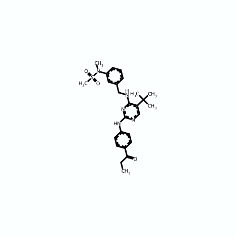 CCC(=O)c1ccc(Nc2ncc(C(C)(C)C)c(NCc3cccc(N(C)S(C)(=O)=O)c3)n2)cc1